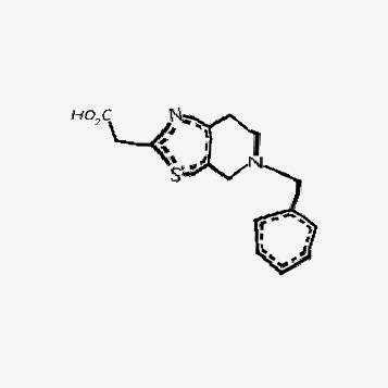 O=C(O)Cc1nc2c(s1)CN(Cc1ccccc1)CC2